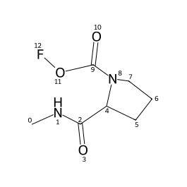 CNC(=O)C1CCCN1C(=O)OF